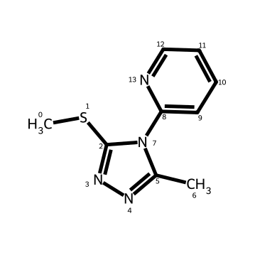 CSc1nnc(C)n1-c1ccccn1